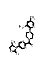 Cc1cnc(N2CCN(C(=O)c3ncc(N4C(=O)OCC4C)cn3)CC2)c(C)c1